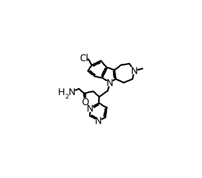 CN1CCc2c(n(CC(CC(=O)CN)c3ccncn3)c3ccc(Cl)cc23)CC1